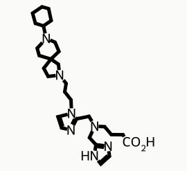 O=C(O)CCCN(Cc1ncc[nH]1)Cc1nccn1CCCN1CCC2(CCN(C3CCCCC3)CC2)C1